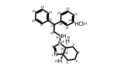 C1=N[C@H]2CCCC[C@@H]2N1NCC(c1ccccc1)c1ccccc1.Cl